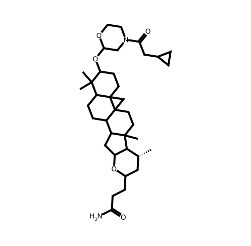 C[C@@H]1CC(CCC(N)=O)OC2CC3C4CCC5C(C)(C)C(OC6CN(C(=O)CC7CC7)CCO6)CCC56CC46CCC3(C)C21